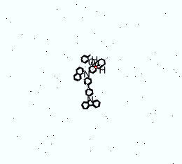 Cc1ccccc1Oc1cc(N(c2ccc(-c3ccc(-n4c5ccccc5c5ccccc54)cc3)cc2)c2cccc3ccccc23)ccc1C1[C@H]2C[C@@H](C)C[C@@H]1C[C@@H](C)C2